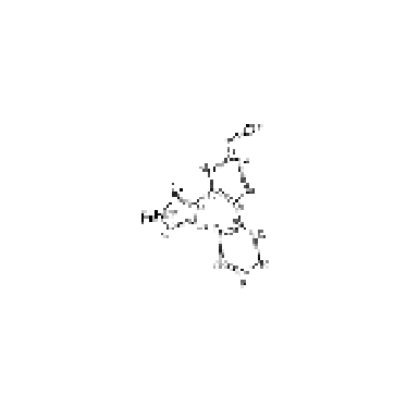 O=Cc1ccc(-c2ccccc2)c(-c2cc[nH]n2)c1